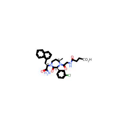 C[C@@H]1CCN([C@H](Cc2cccc3ccccc23)C(N)=O)C(=O)[C@H](c2cccc(Cl)c2)N1C(=O)CNC(=O)CCC(=O)O